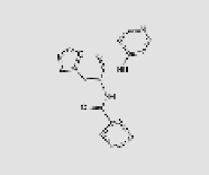 O=C(Nc1ccncc1)/C(=C\c1ccco1)NC(=O)c1ccccc1